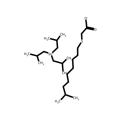 CC(C)CCCCCCCSCC(=O)[O-].CC(C)[CH2][Sn+]([CH2]C(C)C)[CH2]C(C)C